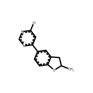 CC1Cc2cc(-c3cc(Cl)ncn3)ccc2O1